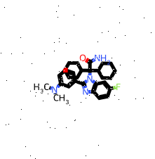 CN(C)c1cccc(-c2nc3ccc(F)cc3n2C(C(N)=O)(C2CCCCC2)C2CCCCC2)c1